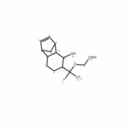 COCOC(F)(C1CCC2C3C=CC(C3)C2C1O)C(F)(F)F